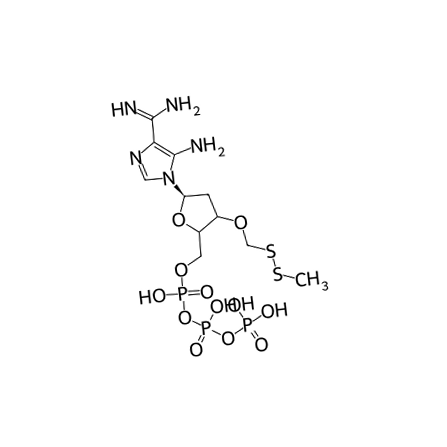 CSSCOC1C[C@H](n2cnc(C(=N)N)c2N)OC1COP(=O)(O)OP(=O)(O)OP(=O)(O)O